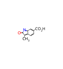 CC1=c2ccc(C(=O)O)cc2=NC1=O